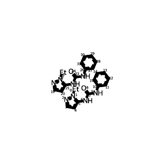 CCn1nccc1NC(=O)Nc1ccccc1.CCn1nccc1NC(=O)Nc1ccccc1